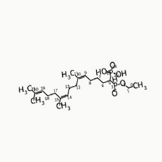 CCO[PH](=O)C(CCCC=C(C)CCC=C(C)CCC=C(C)C)P(=O)(O)O